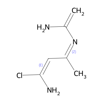 C=C(N)/N=C(C)\C=C(/N)Cl